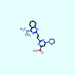 CN(C)c1nc(/C=C/c2nc(C(=O)O)cc(N3CCCC3)n2)nc2ccccc12